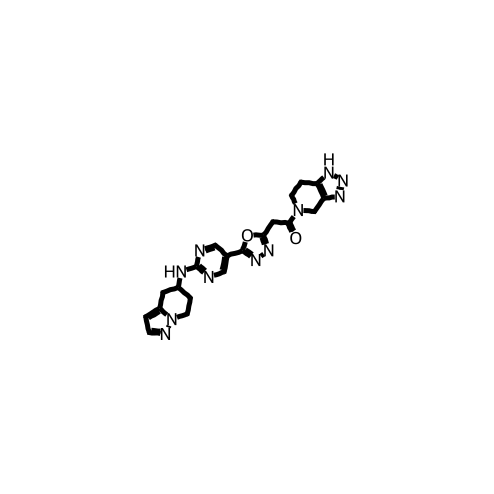 O=C(Cc1nnc(-c2cnc(NC3CCn4nccc4C3)nc2)o1)N1CCc2[nH]nnc2C1